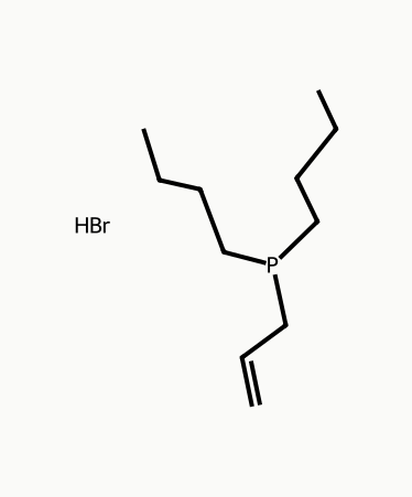 Br.C=CCP(CCCC)CCCC